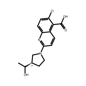 CC(O)[C@@H]1CCN(c2ccc3c(C(=O)O)c(Cl)ccc3n2)C1